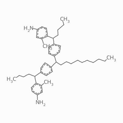 CCCCCCCCCCC(c1ccc(C(CCCC)c2ccc(N)cc2C)cc1)c1ccc(C(CCCC)c2ccc(N)cc2C)cc1